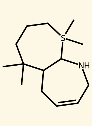 CC1(C)CCCS(C)(C)C2NCC=CCC21